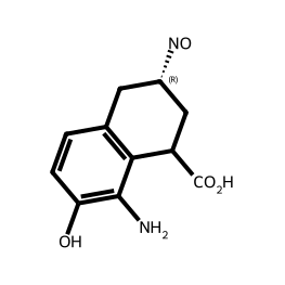 Nc1c(O)ccc2c1C(C(=O)O)C[C@@H](N=O)C2